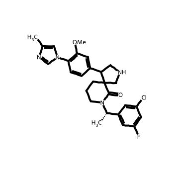 COc1cc(C2CNCC23CCCN([C@@H](C)c2cc(F)cc(Cl)c2)C3=O)ccc1-n1cnc(C)c1